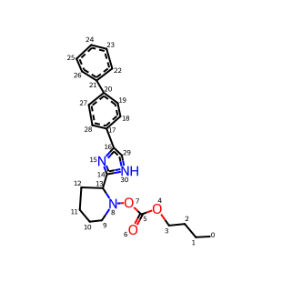 CCCCOC(=O)ON1CCCCC1c1nc(-c2ccc(-c3ccccc3)cc2)c[nH]1